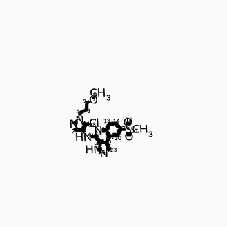 COCCCn1ncc(Nc2nc3ccc(S(C)(=O)=O)cc3c3cn[nH]c23)c1Cl